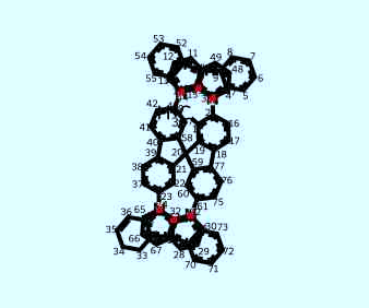 Cc1c(-n2c3ccccc3c3ccccc32)ccc2c1C1(c3cc(-n4c5c(c6ccccc64)CCC=C5)ccc3-c3ccc(-n4c5ccccc5c5ccccc54)cc31)c1cc(-n3c4ccccc4c4ccccc43)ccc1-2